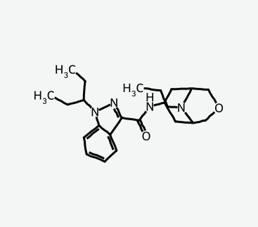 CCCN1C2COCC1CC(NC(=O)c1nn(C(CC)CC)c3ccccc13)C2